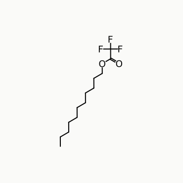 CCCCCCCCCCCOC(=O)C(F)(F)F